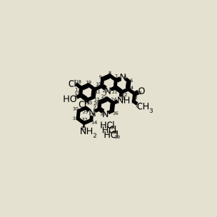 CCC(=O)c1cnc2ccc(-c3cc(Cl)c(O)c(Cl)c3)nc2c1Nc1ccc(N2CCC[C@H](N)C2)nc1.Cl.Cl.Cl